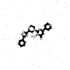 Cn1c(N2CCOC(c3nc(-c4ccccc4)no3)C2)nc(-c2ccncc2)cc1=O